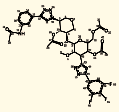 COC1C(S[C@@H]2COC[C@H](n3cc(-c4cccc(NC(C)=O)c4)nn3)[C@H]2OC(C)=O)OC(COC(C)=O)C(OC(C)=O)C1n1cc(-c2cc(F)c(F)c(F)c2)nn1